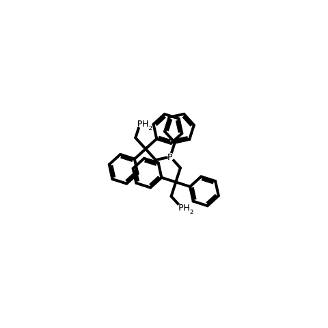 PCC(CP(CC(CP)(c1ccccc1)c1ccccc1)c1ccccc1)(c1ccccc1)c1ccccc1